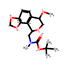 COC1COC(CN(C)C(=O)OC(C)(C)C)c2c1ccc1c2OCO1